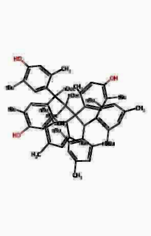 CCCCCCCCCCC(c1cc(C(C)(C)C)c(O)cc1C)(c1cc(C(C)(C)C)c(O)cc1C)C(CCCCCCCCCC)(CCCCCCCCCC)C(c1cc(C(C)(C)C)c(O)cc1C)(c1c(CCCC)cc(C)cc1CCCC)C(c1c(CCCC)cc(C)cc1CCCC)c1c(CCCC)cc(C)cc1CCCC